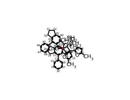 Cc1ccc(C2=Cc3c(cc4c(c3-c3ccccc3)CCC4)[CH]2[Zr]([CH3])([CH3])(=[SiH2])([Cl])([Cl])[CH]2C(c3ccc(C)o3)=Cc3c2cc2c(c3-c3ccccc3)CCC2)o1